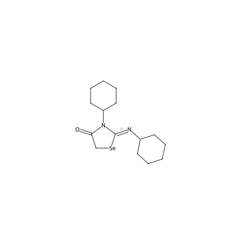 O=C1C[Se]/C(=N\C2CCCCC2)N1C1CCCCC1